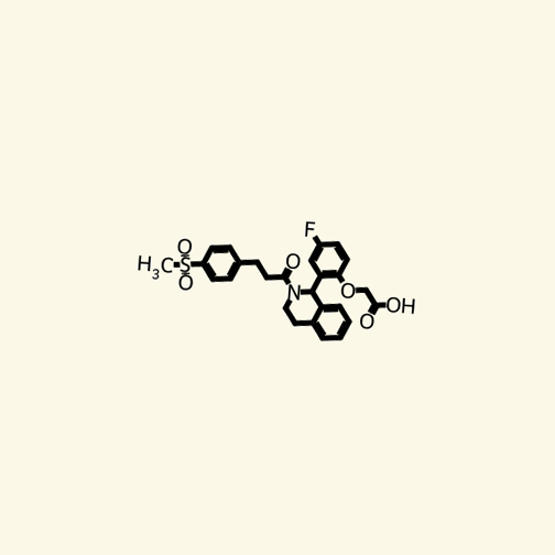 CS(=O)(=O)c1ccc(CCC(=O)N2CCc3ccccc3C2c2cc(F)ccc2OCC(=O)O)cc1